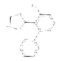 N#Cc1cccc(-c2ccccc2)c1C1CNCN1